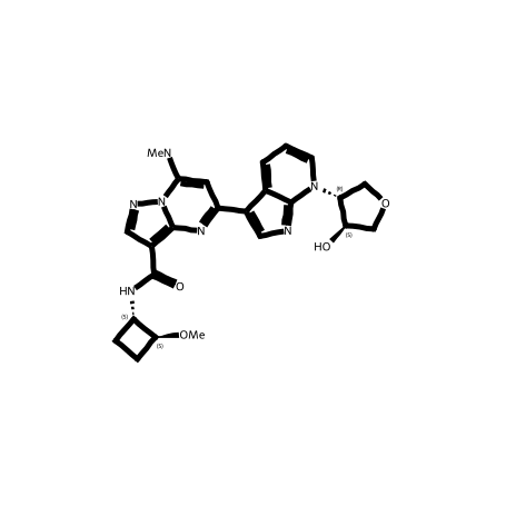 CNc1cc(-c2cnc3n([C@@H]4COC[C@H]4O)cccc2-3)nc2c(C(=O)N[C@H]3CC[C@@H]3OC)cnn12